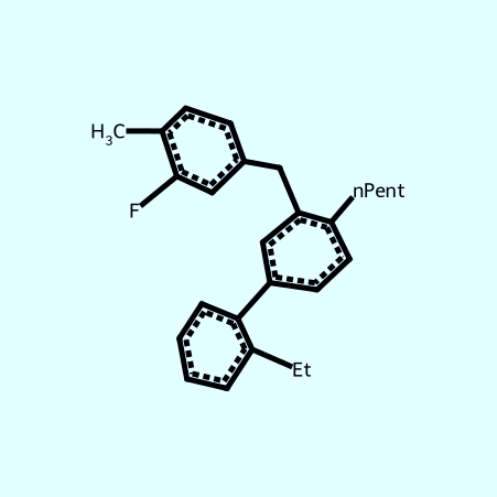 CCCCCc1ccc(-c2ccccc2CC)cc1Cc1ccc(C)c(F)c1